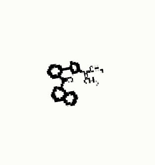 CN(C)C1=CCC(c2ccccc2C(=O)c2cccc3ccccc23)=C1